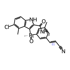 Cc1cc(/C=C/C#N)cc([P@@](C)(=O)c2c(C(N)=O)[nH]c3ccc(Cl)c(C)c23)c1